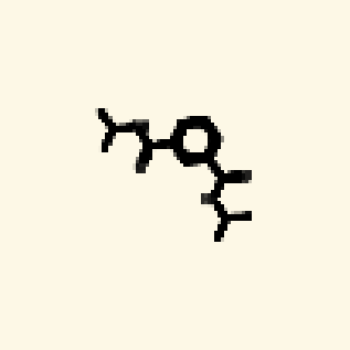 CC(C)NC(=O)c1c[c]cc(C(=O)NC(C)C)c1